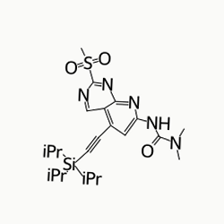 CC(C)[Si](C#Cc1cc(NC(=O)N(C)C)nc2nc(S(C)(=O)=O)ncc12)(C(C)C)C(C)C